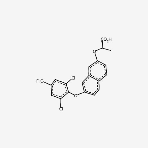 C[C@@H](Oc1ccc2ccc(Oc3c(Cl)cc(C(F)(F)F)cc3Cl)cc2c1)C(=O)O